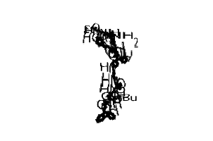 CCC(=O)NCCNC(=O)/N=C(/N)NCCC[C@@H](NC(=O)C(c1ccccc1)c1ccc(NCCCNc2c(NCCNC(=O)[C@@H](CNC(=O)OCC3c4ccccc4-c4ccccc43)NC(=O)OC(C)(C)C)c(=O)c2=O)cc1)C(=O)NCc1ccc(O)cc1